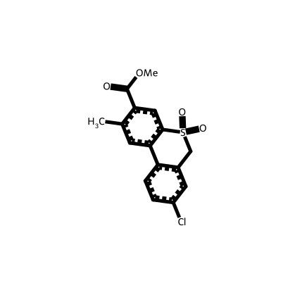 COC(=O)c1cc2c(cc1C)-c1ccc(Cl)cc1CS2(=O)=O